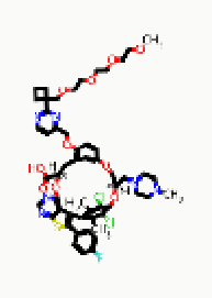 COCCOCCOCCOCC1(c2nccc(COc3ccc4cc3C[C@H](C(=O)O)Oc3ncnc5sc(-c6ccc(F)cc6)c(c35)-c3c(C)c(Cl)c(c(Cl)c3C)O[C@H](CN3CCN(C)CC3)CO4)n2)CCC1